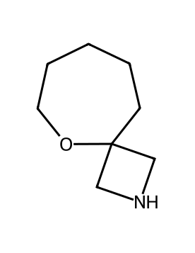 C1CCOC2(CC1)CNC2